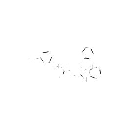 O=C(CCc1nc2cccnc2n1Cc1ccccc1)NCc1cccc(Cl)c1